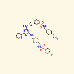 NCC1CCC(CNS(=O)(=O)c2ccc(F)cc2)CC1.O=S(=O)(NCC1CCC(CNc2nc(NC3CC3)nc(-c3ccccn3)n2)CC1)c1ccc(F)cc1